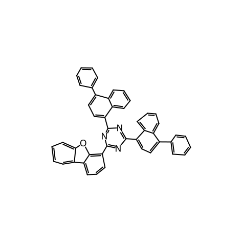 c1ccc(-c2ccc(-c3nc(-c4ccc(-c5ccccc5)c5ccccc45)nc(-c4cccc5c4oc4ccccc45)n3)c3ccccc23)cc1